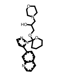 OC(COC1(n2nccc2-c2ccc3cccnc3c2)CCCCO1)CN1CCOCC1